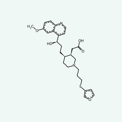 COc1ccc2nccc([C@H](O)CC[C@@H]3CCN(CCCSc4ccoc4)C[C@@H]3CC(=O)O)c2c1